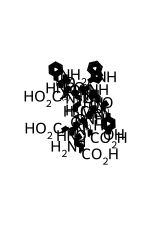 CSCC[C@H](NC(=O)[C@H](Cc1c[nH]c2ccccc12)NC(=O)CNC(=O)[C@H](Cc1ccc(O)cc1)NC(=O)[C@H](C)NC(=O)[C@H](CCC(=O)O)NC(=O)[C@H](CCC(=O)O)NC(=O)[C@@H](N)CCC(=O)O)C(=O)N[C@@H](CC(=O)O)C(=O)N[C@@H](Cc1ccccc1)C(N)=O